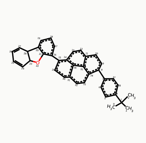 CC(C)(C)c1ccc(-c2ccc3ccc4c(-c5cccc6c5OC5C=CC=CC65)ccc5ccc2c3c54)cc1